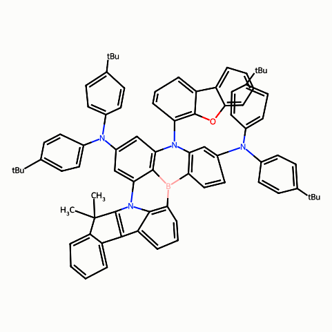 CC(C)(C)c1ccc(N(c2ccc(C(C)(C)C)cc2)c2ccc3c(c2)N(c2cccc4c2oc2ccccc24)c2cc(N(c4ccc(C(C)(C)C)cc4)c4ccc(C(C)(C)C)cc4)cc4c2B3c2cccc3c5c(n-4c23)C(C)(C)c2ccccc2-5)cc1